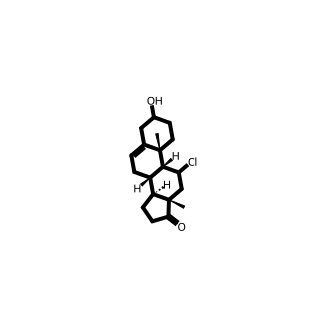 C[C@]12CCC(O)CC1=CC[C@@H]1[C@H]2C(Cl)C[C@]2(C)C(=O)CC[C@@H]12